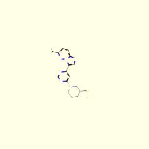 CS(=O)(=O)CC1CCCN(c2cc(-c3cnc4ccc(C(F)F)nn34)ncn2)C1